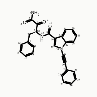 NC(=O)C(=O)[C@H](Cc1ccccc1)NC(=O)c1cn(C#Cc2ccccc2)c2ccccc12